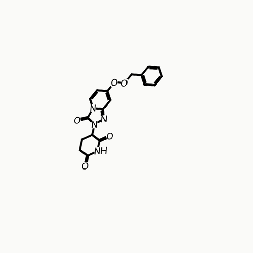 O=C1CCC(n2nc3cc(OOCc4ccccc4)ccn3c2=O)C(=O)N1